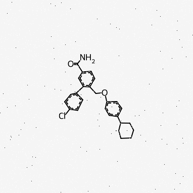 NC(=O)c1ccc(COc2ccc(C3[CH]CCCC3)cc2)c(-c2ccc(Cl)cc2)c1